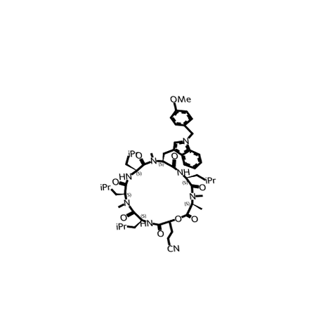 COc1ccc(Cn2cc(C[C@H]3C(=O)N[C@@H](CC(C)C)C(=O)N(C)[C@@H](C)C(=O)OC(CCC#N)C(=O)N[C@@H](CC(C)C)C(=O)N(C)[C@@H](CC(C)C)C(=O)N[C@@H](CC(C)C)C(=O)N3C)c3ccccc32)cc1